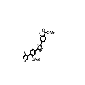 COC(=O)c1ccc(-c2noc(-c3ccc(-c4cscc4C)c(OC)c3)n2)cc1F